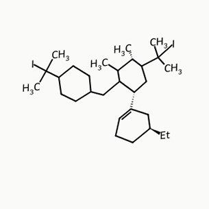 CC[C@H]1CCC=C([C@H]2CC(C(C)(C)I)[C@@H](C)C(C)C2CC2CCC(C(C)(C)I)CC2)C1